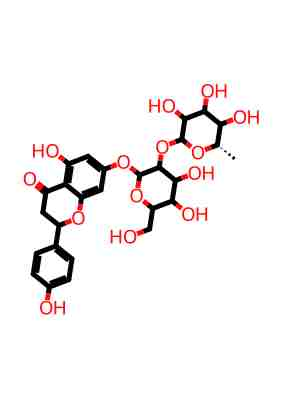 C[C@@H]1OC(OC2C(Oc3cc(O)c4c(c3)OC(c3ccc(O)cc3)CC4=O)OC(CO)C(O)C2O)C(O)C(O)C1O